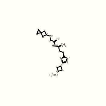 C=C(CCc1nnc([C@H]2C[C@@H](OC(F)(F)F)C2)o1)NC(=O)COC1CC2(CC2)C1